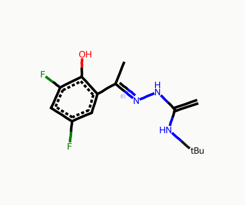 C=C(N/N=C(\C)c1cc(F)cc(F)c1O)NC(C)(C)C